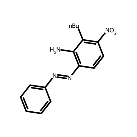 CCCCc1c([N+](=O)[O-])ccc(N=Nc2ccccc2)c1N